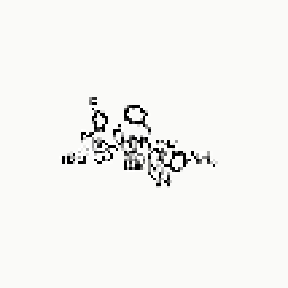 CC(C)CN(C[C@@H](O)[C@H](Cc1ccccc1)NC(=O)[C@@H](NC(=O)CN(C(=O)OC(C)(C)C)C1(c2cccc(F)c2)CC1)C(C)(C)C)S(=O)(=O)c1ccc(N)cc1